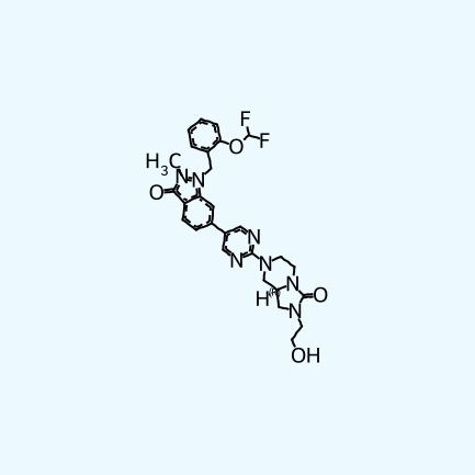 Cn1c(=O)c2ccc(-c3cnc(N4CCN5C(=O)N(CCO)C[C@H]5C4)nc3)cc2n1Cc1ccccc1OC(F)F